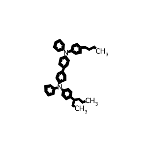 CCCCc1ccc(N(c2ccccc2)c2ccc(-c3ccc(N(c4ccccc4)c4ccc(C(CC)CCC)cc4)cc3)cc2)cc1